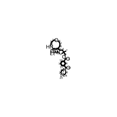 CCn1nc(CC(C)(C)COC(=O)c2cccc(C(=O)N3CCN(C)CC3)c2)c2c1C(=O)NCCCOCCC2